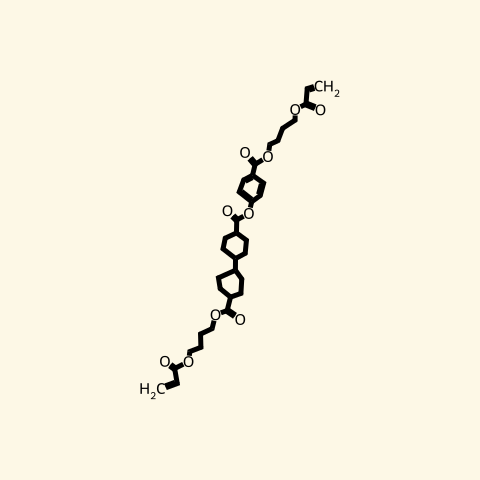 C=CC(=O)OCCCCOC(=O)c1ccc(OC(=O)C2CCC(C3CCC(C(=O)OCCCCOC(=O)C=C)CC3)CC2)cc1